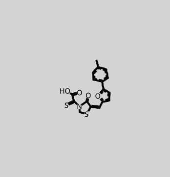 Cc1ccc(-c2ccc(C=C3SCN(C(=S)C(=O)O)C3=O)o2)cc1